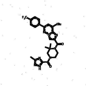 Cc1n[nH]c(C(=O)N2CCN(C(=O)c3cn4nc(-c5ccc(C(F)(F)F)cc5)cc(C(C)(C)C)c4n3)C(C)(C)C2)n1